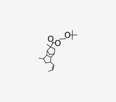 C/C=C\C1CC(C)C2C1C1CC2C(C)(C(=O)OCCOC(C)(C)C)C1